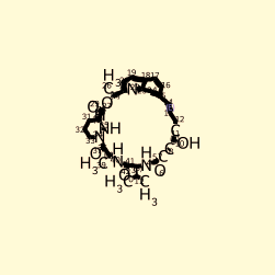 CC(C)[C@@H]1NC(=O)CC[C@H](O)CC/C=C/c2ccc3ccc(nc3c2)[C@@H](C)OC(=O)[C@@H]2CCCN(N2)C(=O)[C@H](C)NC1=O